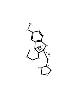 COc1ccc2c(c1)[C@]13CCCC[C@@H]1[C@H](C2)N(CC1CNCN1)CC3